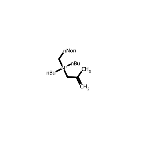 C=C(C)C[N+](CCCC)(CCCC)CCCCCCCCCC